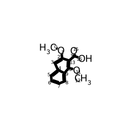 COc1cc2ccccc2c(OC)c1C(=O)O